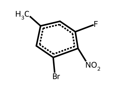 Cc1cc(F)c([N+](=O)[O-])c(Br)c1